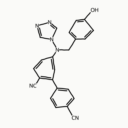 N#Cc1ccc(-c2cc(N(Cc3ccc(O)cc3)n3cnnc3)ccc2C#N)cc1